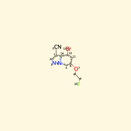 N#Cc1cnn2cc(OCCF)cc(Br)c12